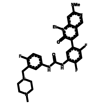 CCn1c(=O)c(-c2cc(NC(=O)Nc3ccc(F)c(CN4CCN(C)CC4)c3)c(F)cc2F)cc2cnc(NC)cc21